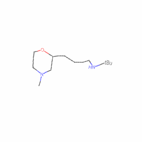 CN1CCOC(CCCNC(C)(C)C)C1